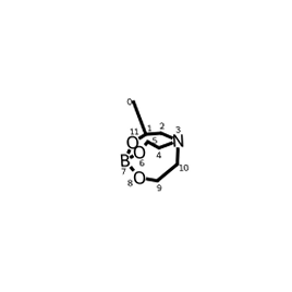 CC1CN2CCOB(OCC2)O1